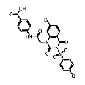 O=C(Cn1c(=O)n(S(=O)(=O)c2ccc(Cl)cc2)c(=O)c2ccc(Cl)cc21)Nc1ccc(C(=O)O)cc1